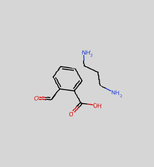 NCCCN.O=Cc1ccccc1C(=O)O